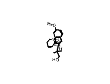 COc1ccc2c(c1)[C@@]13CCCC[C@H]1[C@@H](C2)N(C(C)(C)CO)CC3